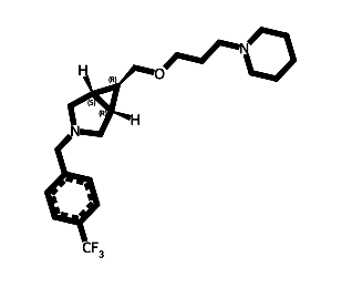 FC(F)(F)c1ccc(CN2C[C@@H]3[C@@H](COCCCN4CCCCC4)[C@@H]3C2)cc1